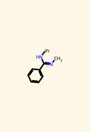 C/N=C(\NC(C)C)c1ccccc1